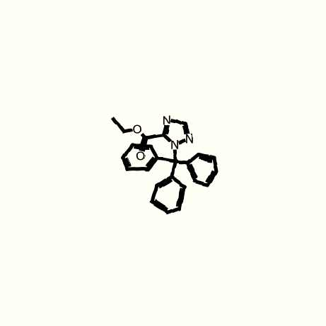 CCOC(=O)c1ncnn1C(c1ccccc1)(c1ccccc1)c1ccccc1